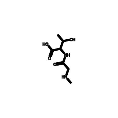 CNCC(=O)NC(C(=O)O)C(C)O